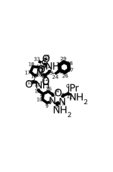 CC(C)[C@H](N)C(=O)/N=C(/N)N1CCC(CNC(=O)[C@@H]2CCCN2C(=O)[C@@H](Cc2ccccc2)NS(C)(=O)=O)CC1